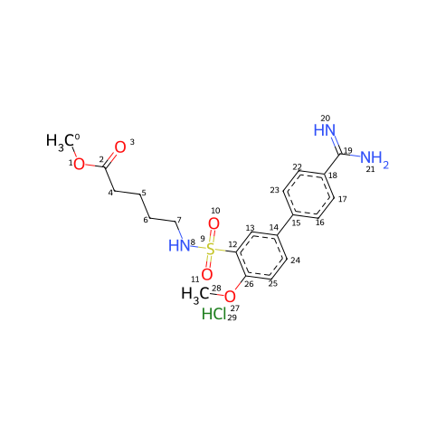 COC(=O)CCCCNS(=O)(=O)c1cc(-c2ccc(C(=N)N)cc2)ccc1OC.Cl